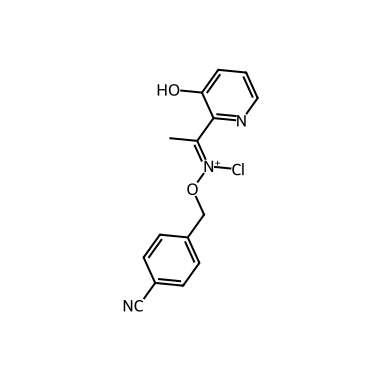 CC(c1ncccc1O)=[N+](Cl)OCc1ccc(C#N)cc1